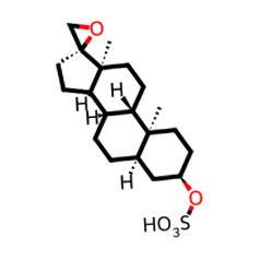 C[C@]12CC[C@@H](OS(=O)(=O)O)C[C@H]1CC[C@@H]1[C@@H]2CC[C@@]2(C)[C@H]1CC[C@@]21CO1